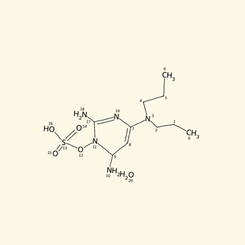 CCCN(CCC)C1=CC(N)N(OS(=O)(=O)O)C(N)=N1.O